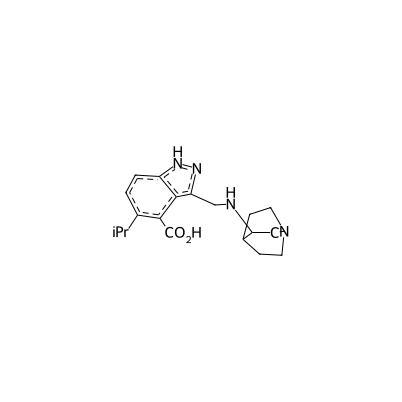 CC(C)c1ccc2[nH]nc(CNC3CN4CCC3CC4)c2c1C(=O)O